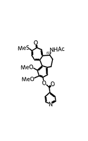 COc1c(OC(=O)c2ccncc2)cc2c(c1OC)-c1ccc(SC)c(=O)cc1[C@@H](NC(C)=O)CC2